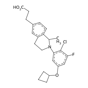 CC1c2ccc(CCC(=O)O)cc2CCN1c1cc(OC2CCC2)cc(F)c1Cl